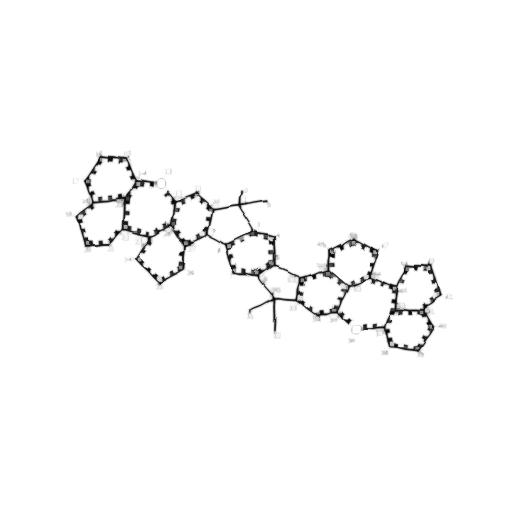 CC1(C)c2cc3c(cc2-c2c1cc1oc4cccc5cccc(c6cccc2c16)c54)C(C)(C)c1cc2oc4cccc5cccc(c6cccc(c1-3)c26)c54